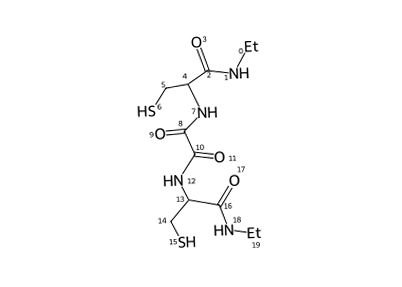 CCNC(=O)C(CS)NC(=O)C(=O)NC(CS)C(=O)NCC